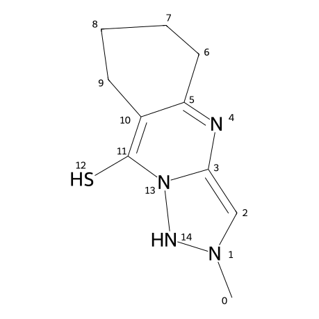 CN1C=C2N=C3CCCCC3=C(S)N2N1